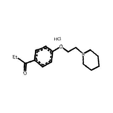 CCC(=O)c1ccc(OCCN2CCCCC2)cc1.Cl